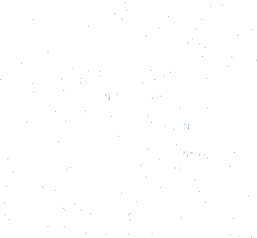 CC(C)(C)OC(=O)N1CCC(Oc2ccc([N+](=O)[O-])nc2)CC1